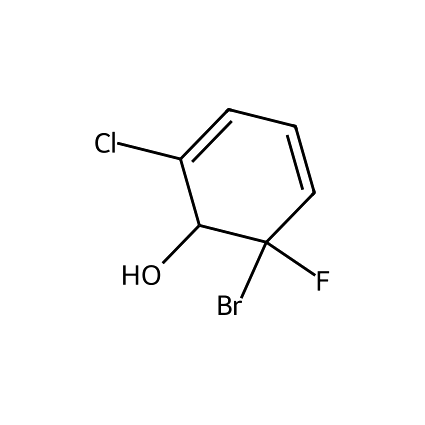 OC1C(Cl)=CC=CC1(F)Br